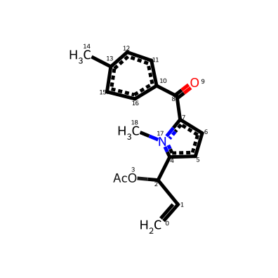 C=CC(OC(C)=O)c1ccc(C(=O)c2ccc(C)cc2)n1C